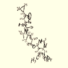 CCCN1Cc2ncnc(Oc3ccc4c(ccn4C(=O)Nc4cc(C5CC5)on4)c3)c2C[C@@H]1C